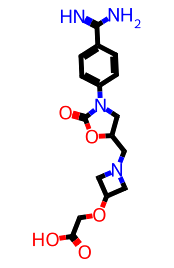 N=C(N)c1ccc(N2CC(CN3CC(OCC(=O)O)C3)OC2=O)cc1